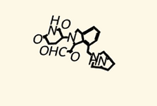 O=CC(=O)C1c2c(CN3CC4CCC(C3)N4)cccc2CN1C1CCC(=O)NC1=O